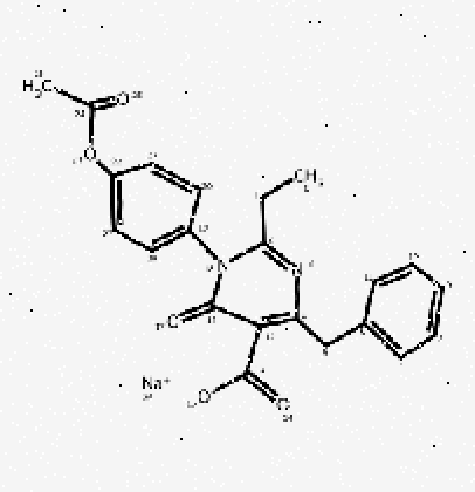 CCc1nc(Cc2ccccc2)c(C(=O)[O-])c(=O)n1-c1ccc(OC(C)=O)cc1.[Na+]